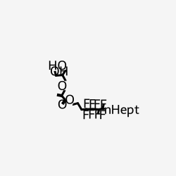 C=C(COCC(CO)CO)C(=O)OCCCC(F)(F)C(F)(F)C(F)(F)C(F)(F)CCCCCCC